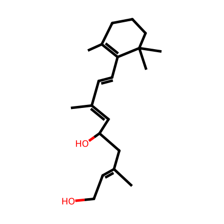 CC(C=CC1=C(C)CCCC1(C)C)=CC(O)CC(C)=CCO